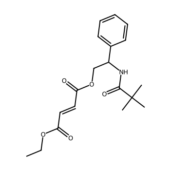 CCOC(=O)/C=C/C(=O)OCC(NC(=O)C(C)(C)C)c1ccccc1